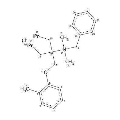 Cc1ccccc1OCC(CC(C)C)(CC(C)C)[N+](C)(C)Cc1ccccc1.[Cl-]